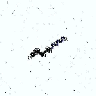 CC/C=C\C/C=C\C/C=C\C/C=C\C/C=C\C/C=C\CCC(=O)NCCCN(CC)CCNC(=O)C(C)(C)Oc1ccc(Cl)cc1